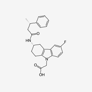 C[C@@H](CC(=O)N[C@H]1CCc2c(c3cc(F)ccc3n2CC(=O)O)C1)c1ccccc1